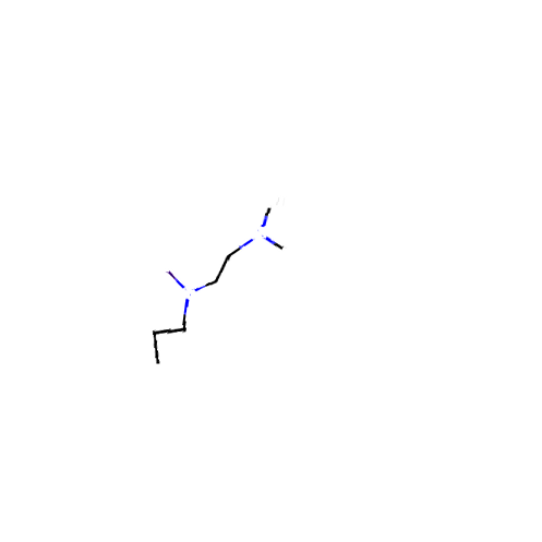 CCCN(I)CCN(C)C